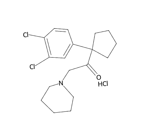 Cl.O=C(CN1CCCCC1)C1(c2ccc(Cl)c(Cl)c2)CCCC1